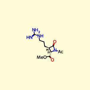 COC(=O)[C@@H]1[C@@H](CCCNC(=N)N)C(=O)N1C(C)=O